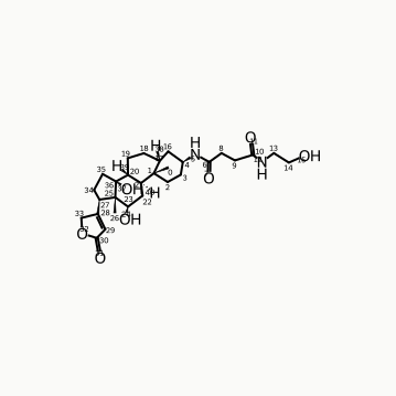 C[C@]12CC[C@H](NC(=O)CCC(=O)NCCO)C[C@H]1CC[C@@H]1[C@@H]2C[C@@H](O)[C@]2(C)[C@@H](C3=CC(=O)OC3)CC[C@]12O